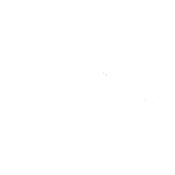 COC(=O)c1nc(-c2ccc(C(F)(F)F)c(OC)c2)ccc1Cl